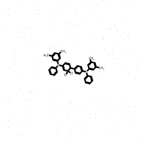 Cc1cc(C)cc(N(C2=CC(Cl)(Cl)C(c3ccc(N(c4ccccc4)c4cc(C)cc(C)c4)cc3)C=C2)c2ccccc2)c1